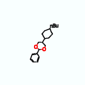 CCCCC1CCC(C2COC(c3ccccc3)OC2)CC1